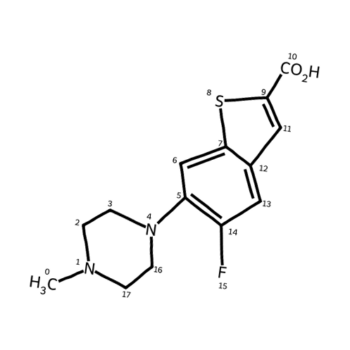 CN1CCN(c2cc3sc(C(=O)O)cc3cc2F)CC1